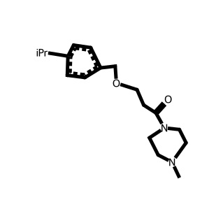 CC(C)c1ccc(COCCC(=O)N2CCN(C)CC2)cc1